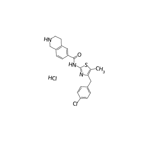 Cc1sc(NC(=O)c2ccc3c(c2)CCNC3)nc1Cc1ccc(Cl)cc1.Cl